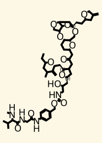 C=C1COC(CC[C@@]23CC4OCC(OC5CCC(CC(=O)CC6C[C@@H](CC(O)CNC(=O)OCc7ccc(NC(=O)CNC(=O)C(NC)C(C)C)cc7)O[C@H]6CC6OC(CC)CC(C)C6=C)OC5CO2)C4O3)C1